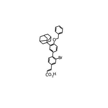 O=C(O)C=Cc1ccc(-c2ccc(OCc3ccccc3)c(C34CC5CC(CC(C5)C3)C4)c2)c(Br)c1